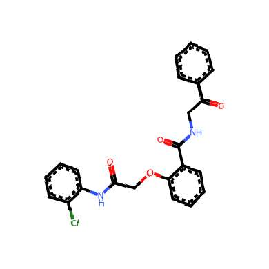 O=C(COc1ccccc1C(=O)NCC(=O)c1ccccc1)Nc1ccccc1Cl